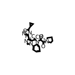 CC1(C)c2c(-c3noc(C4CC4)n3)ncn2-c2ccccc2N1C(=O)C(=O)N1CCCC1